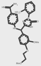 COCCOc1ccc(C(Nc2ccc(C(=N)N)cc2)c2nn(-c3ccccc3C(=O)O)c(=O)[nH]2)cc1OC